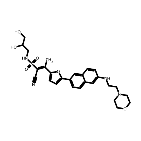 C/C(=C(/C#N)S(=O)(=O)NCC(O)CO)c1ccc(-c2ccc3cc(NCCN4CCOCC4)ccc3c2)o1